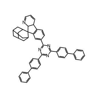 C1=CC2c3ccc(-c4nc(-c5ccc(-c6ccccc6)cc5)nc(-c5ccc(-c6ccccc6)cc5)n4)cc3C3(C4CC5CC(C4)CC3C5)C2N=C1